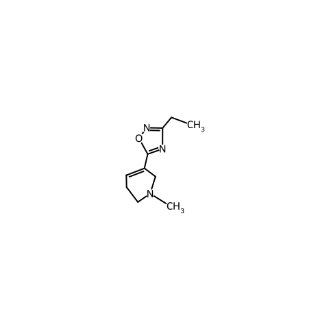 CCc1noc(C2=CCCN(C)C2)n1